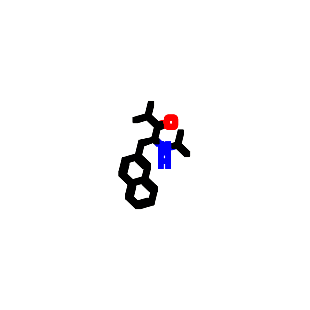 CC(C)N[C@@H](Cc1ccc2ccccc2c1)C(=O)C(C)C